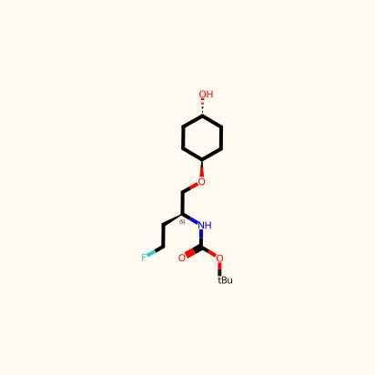 CC(C)(C)OC(=O)N[C@@H](CCF)CO[C@H]1CC[C@H](O)CC1